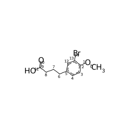 COc1ccc(CCCC(=O)O)cc1Br